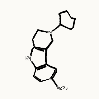 O=[N+]([O-])c1ccc2[nH]c3c(c2c1)CN(C1CCCC1)CC3